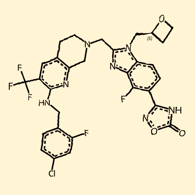 O=c1[nH]c(-c2ccc3c(nc(CN4CCc5cc(C(F)(F)F)c(NCc6ccc(Cl)cc6F)nc5C4)n3C[C@@H]3CCO3)c2F)no1